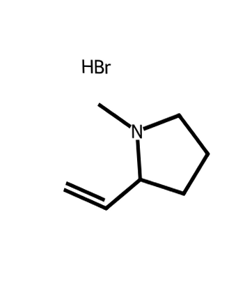 Br.C=CC1CCCN1C